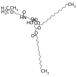 CCCCCCCCCCCCCCCC(=O)OCC(COP(=O)(O)OCCNC(=O)CCCCOC(C)(C)C)OC(=O)CCCCCCCCCCCCCCC